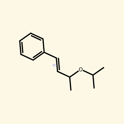 CC(C)OC(C)/C=C/c1ccccc1